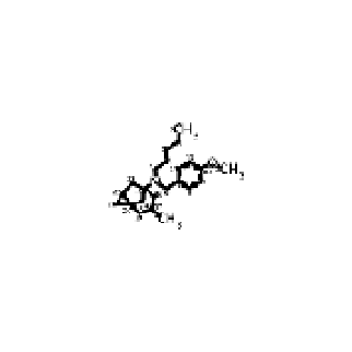 CCCCCN(Cc1ccc(OC)cc1)C12CC(C)CC3(CC3C1)C2